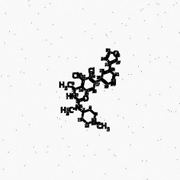 CC(NC(=O)N(C)C1CCN(C)CC1)c1ccc(-c2cncc(-c3ccoc3)c2)c(Cl)c1Cl